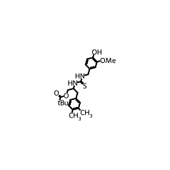 COc1cc(CNC(=S)NC(COC(=O)C(C)(C)C)Cc2ccc(C)c(C)c2)ccc1O